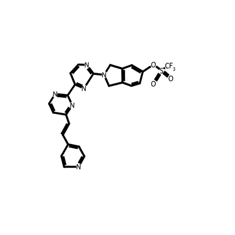 O=S(=O)(Oc1ccc2c(c1)CN(c1nccc(-c3nccc(C=Cc4ccncc4)n3)n1)C2)C(F)(F)F